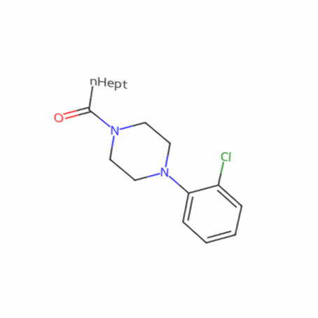 CCCCCCCC(=O)N1CCN(c2ccccc2Cl)CC1